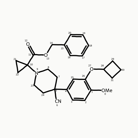 COc1ccc(C2(C#N)CCN(C3(C(=O)OCc4ccccc4)CC3)CC2)cc1OC1CCC1